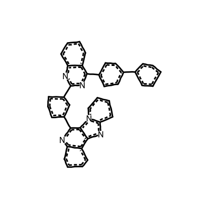 c1ccc(-c2ccc(-c3nc(-c4cccc(-c5nc6ccccc6c6nc7ccccn7c56)c4)nc4ccccc34)cc2)cc1